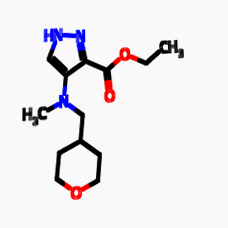 CCOC(=O)c1n[nH]cc1N(C)CC1CCOCC1